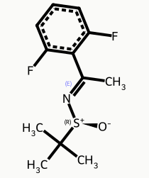 C/C(=N\[S@@+]([O-])C(C)(C)C)c1c(F)cccc1F